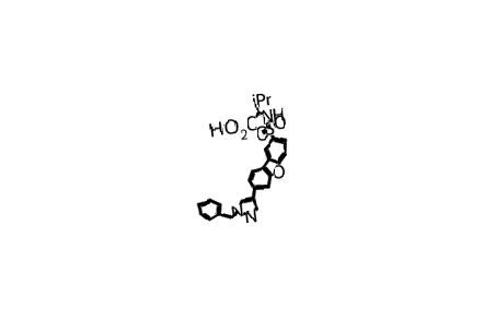 CC(C)[C@@H](NS(=O)(=O)c1ccc2oc3cc(-c4cnn(Cc5ccccc5)c4)ccc3c2c1)C(=O)O